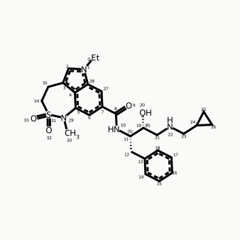 CCn1cc2c3c(cc(C(=O)N[C@@H](Cc4ccccc4)[C@H](O)CNCC4CC4)cc31)N(C)S(=O)(=O)CC2